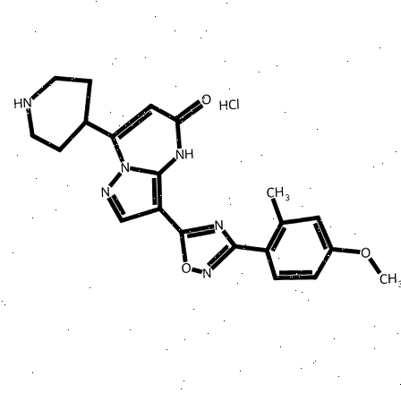 COc1ccc(-c2noc(-c3cnn4c(C5CCNCC5)cc(=O)[nH]c34)n2)c(C)c1.Cl